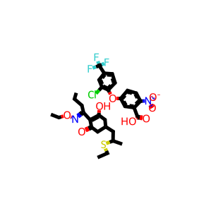 CCCC(=NOCC)C1=C(O)CC(CC(C)SCC)CC1=O.O=C(O)c1cc(Oc2ccc(C(F)(F)F)cc2Cl)ccc1[N+](=O)[O-]